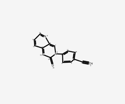 C#Cc1ccc(-n2cc3ncccc3nc2=O)cc1